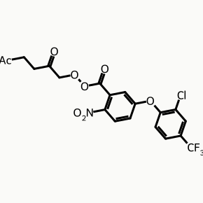 CC(=O)CCC(=O)COOC(=O)c1cc(Oc2ccc(C(F)(F)F)cc2Cl)ccc1[N+](=O)[O-]